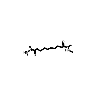 CNN(C)C(=O)CCCCCCCCC(=O)N(C)NC